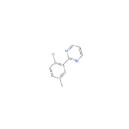 Cc1ccc(Cl)c(-c2ncccn2)c1